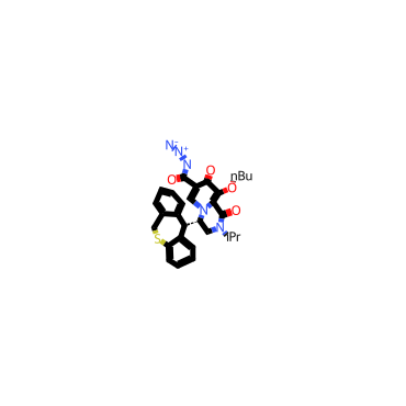 CCCCOc1c2n(cc(C(=O)N=[N+]=[N-])c1=O)[C@@H](C1c3ccccc3CSc3ccccc31)CN(C(C)C)C2=O